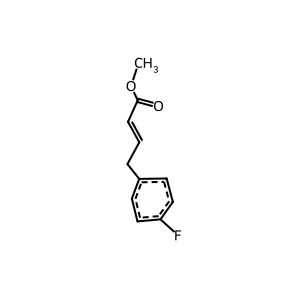 COC(=O)C=CCc1ccc(F)cc1